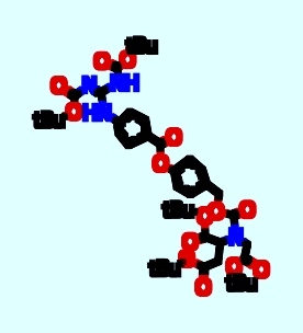 CC(C)(C)OC(=O)CC(C(=O)OC(C)(C)C)N(CC(=O)OC(C)(C)C)C(=O)OCc1ccc(OC(=O)c2ccc(NC(=NC(=O)OC(C)(C)C)NC(=O)OC(C)(C)C)cc2)cc1